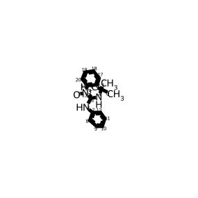 CC(C)(C)N/C(Nc1ccccc1)=[N+](/[O-])c1ccccc1